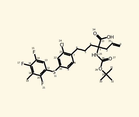 C=CCC(CCCc1ccc(Sc2cc(F)c(F)c(C)c2F)cc1Cl)(NC(=O)OC(C)(C)C)C(=O)O